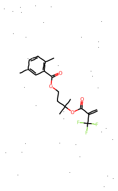 C=C(C(=O)OC(C)(C)CCOC(=O)c1cc(C)ccc1C)C(F)(F)F